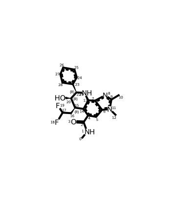 CNC(=O)c1cc2c(nc(C)n2C)c2c1[C@@H](CC(F)F)[C@@H](O)[C@@H](c1ccccc1)N2